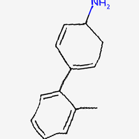 Cc1ccccc1C1=CCC(N)C=C1